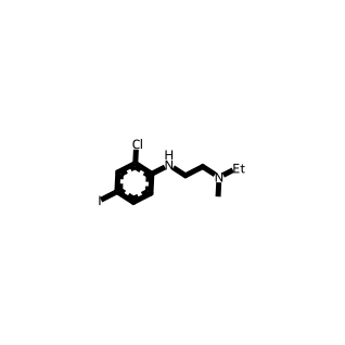 CCN(C)CCNc1ccc(I)cc1Cl